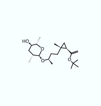 C=C(OC(C)(C)C)[C@@H]1C[C@@]1(C)CC[C@@H](C)O[C@@H]1O[C@@H](C)[C@H](O)C[C@H]1C